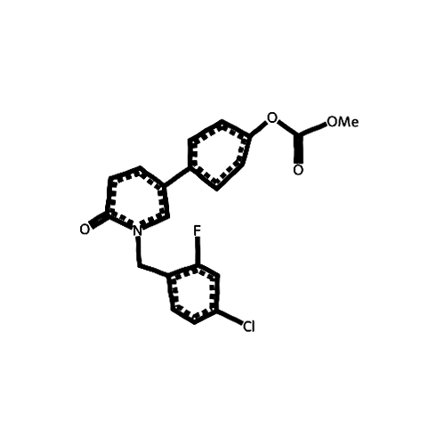 COC(=O)Oc1ccc(-c2ccc(=O)n(Cc3ccc(Cl)cc3F)c2)cc1